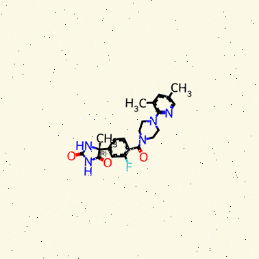 Cc1cnc(N2CCN(C(=O)c3ccc([C@@]4(C)NC(=O)NC4=O)cc3F)CC2)c(C)c1